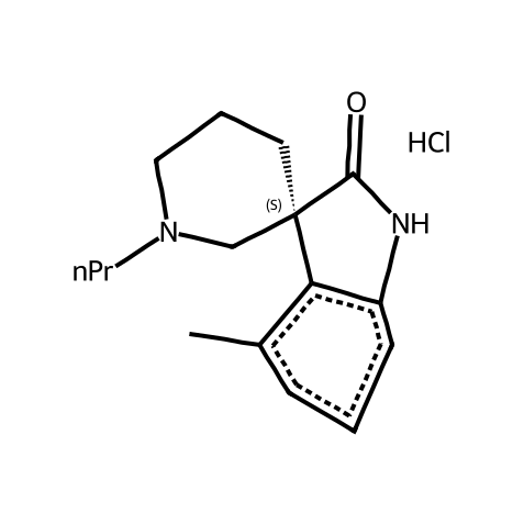 CCCN1CCC[C@]2(C1)C(=O)Nc1cccc(C)c12.Cl